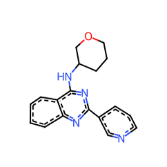 c1cncc(-c2nc(NC3CCCOC3)c3ccccc3n2)c1